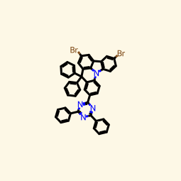 Brc1ccc2c(c1)c1cc(Br)cc3c1n2-c1ccc(-c2nc(-c4ccccc4)nc(-c4ccccc4)n2)cc1C3(c1ccccc1)c1ccccc1